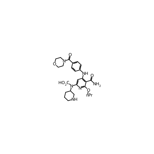 CCCOc1nc(N(C(=O)O)C2CCCNC2)cc(Nc2ccc(C(=O)N3CCOCC3)cc2)c1C(N)=O